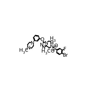 CCn1c(Oc2cccc(N3CCN(C)CC3)c2)nnc1[C@@H](C)NS(=O)(=O)c1ccc(Br)c(F)c1